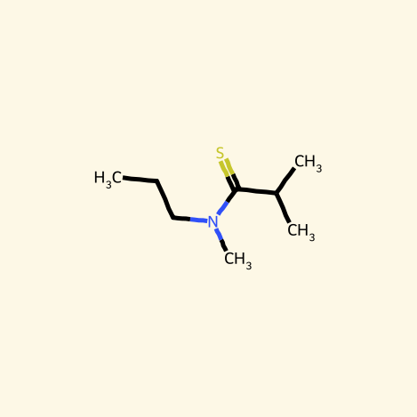 CCCN(C)C(=S)C(C)C